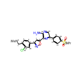 CNCc1ccc(-c2cc(-c3nc(-c4ccc(S(=O)(=O)C(C)C)cc4)cnc3N)on2)cc1Cl